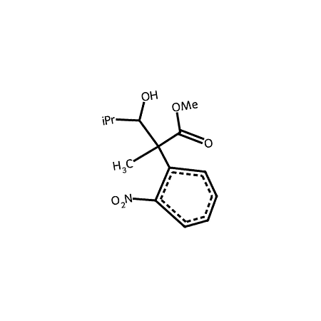 COC(=O)C(C)(c1ccccc1[N+](=O)[O-])C(O)C(C)C